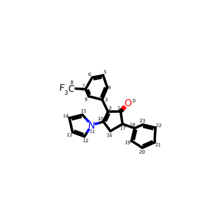 O=C1C(c2cccc(C(F)(F)F)c2)=C(n2cccc2)CC1c1ccccc1